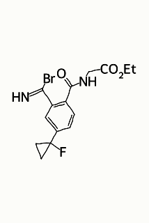 CCOC(=O)CNC(=O)c1ccc(C2(F)CC2)cc1C(=N)Br